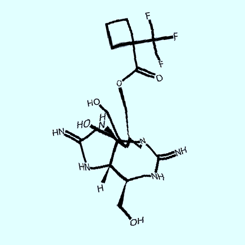 N=C1N[C@H]2[C@H](CO)NC(=N)N3C[C@H](OC(=O)C4(C(F)(F)F)CCC4)C(O)(O)[C@]23N1